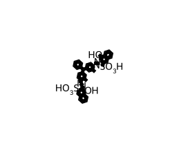 Cc1cc(C(c2ccccc2)c2ccc(/N=N/c3c(S(=O)(=O)O)cc4ccccc4c3O)c(C)c2)ccc1/N=N/c1c(S(=O)(=O)O)cc2ccccc2c1O